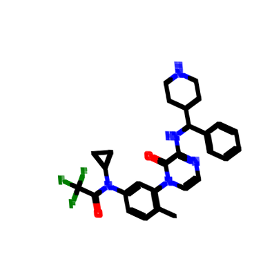 Cc1ccc(N(C(=O)C(F)(F)F)C2CC2)cc1-n1ccnc(NC(c2ccccc2)C2CCNCC2)c1=O